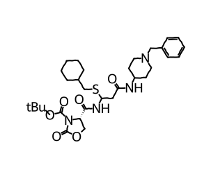 CC(C)(C)OC(=O)N1C(=O)OC[C@H]1C(=O)NC(CC(=O)NC1CCN(Cc2ccccc2)CC1)SCC1CCCCC1